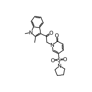 Cc1c(C(=O)Cn2cc(S(=O)(=O)N3CCCC3)ccc2=O)c2ccccc2n1C